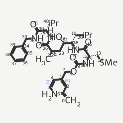 C=C/C=C(\C=C/N)COC(=O)N[C@@H](CSC)C(=O)N[C@@H](CC(C)C)[C@@H](O)C[C@@H](C)C(=O)N[C@H](C(=O)NCc1ccccc1)C(C)C